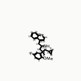 COc1ccc(F)cc1C(C)(CC(N)Cc1ccnc2ccccc12)CC1CC1